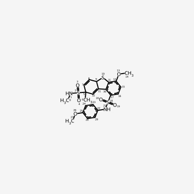 CNS(=O)(=O)C1(C)C=CC2Sc3c(OC)ccc(S(=O)(=O)Nc4ccc(OC)cc4)c3C2=C1